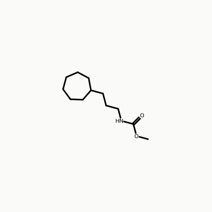 COC(=O)NCCCC1CCCCCC1